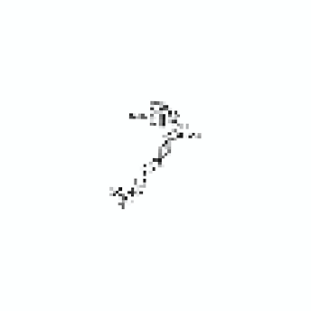 CNC(=O)c1ccccc1Nc1nc(Nc2cc(C)c(N3CCN(C(=O)CN4CCC(c5ccc(NC6CCC(=O)NC6=O)cc5)CC4)CC3C)cc2OC)ncc1Br